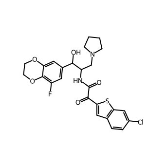 O=C(NC(CN1CCCC1)C(O)c1cc(F)c2c(c1)OCCO2)C(=O)c1cc2ccc(Cl)cc2s1